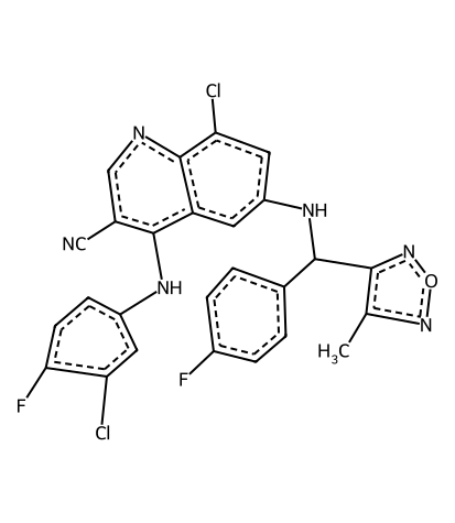 Cc1nonc1C(Nc1cc(Cl)c2ncc(C#N)c(Nc3ccc(F)c(Cl)c3)c2c1)c1ccc(F)cc1